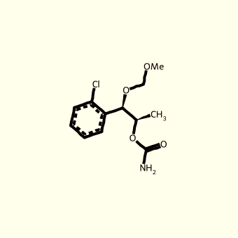 COCO[C@H](c1ccccc1Cl)[C@@H](C)OC(N)=O